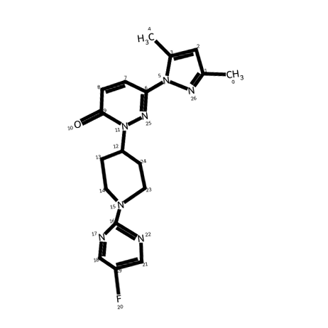 Cc1cc(C)n(-c2ccc(=O)n(C3CCN(c4ncc(F)cn4)CC3)n2)n1